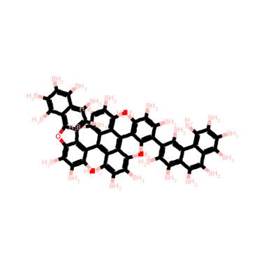 Bc1c(B)c(-c2c(B)c(B)c3c(B)c(B)c4c(B)c(B)c(B)c(B)c4c3c2B)c(B)c(-c2c3c(B)c(B)c(B)c(B)c3c(-c3c(B)c(B)c(B)c4oc5c6c(B)c(B)c(B)c(B)c6c(B)c(B)c5c34)c3c(B)c(B)c(B)c(B)c23)c1B